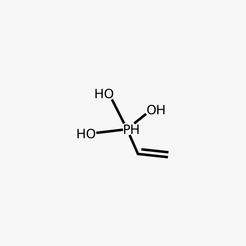 C=C[PH](O)(O)O